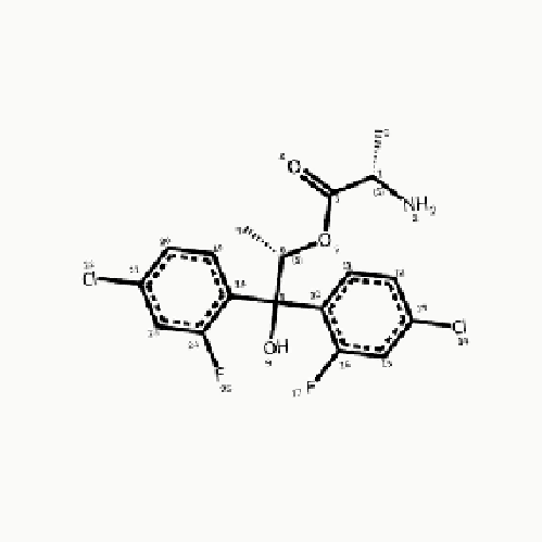 C[C@H](N)C(=O)O[C@@H](C)C(O)(c1ccc(Cl)cc1F)c1ccc(Cl)cc1F